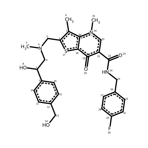 Cc1c(CN(C)CC(O)c2ccc(CO)cc2)sc2c(=O)c(C(=O)NCc3ccc(F)cc3)cn(C)c12